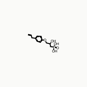 C=CCc1ccc(OCC(O)[CH]P(=O)(O)O)cc1